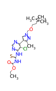 CCOC(=O)NC(=S)Nc1ncnc(-c2cn(COCC[Si](C)(C)C)nc2C)c1Cl